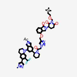 CC(=O)n1cc2cc(C3CCCCN3C(=O)Cn3cc(COc4cccc5c4CN(C4CCC(=O)N(COCC[Si](C)(C)C)C4=O)C5=O)nn3)cc(N3CCCc4cc(-c5cnn(C)c5)c(C(F)F)cc43)c2c1